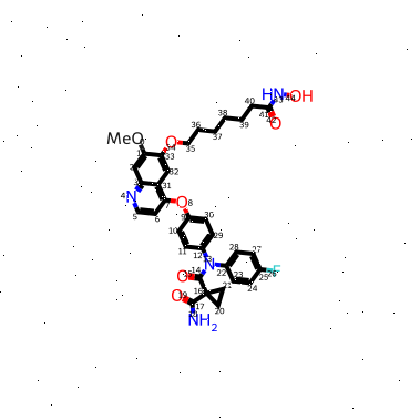 COc1cc2nccc(Oc3ccc(N(C(=O)C4(C(N)=O)CC4)c4ccc(F)cc4)cc3)c2cc1OCCCCCCC(=O)NO